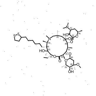 CC[C@H]1OC(=O)[C@H](C)[C@@H](O[C@H]2C[C@@](C)(OC)[C@@H](O)[C@H](C)O2)[C@H](C)[C@@H](O[C@@H]2O[C@H](C)C[C@H](N(C)C)[C@H]2O)[C@](C)(O)C[C@@H](C)CN(C)[C@H](C)[C@@H](CCCCCCC2CCSS2)[C@]1(C)O